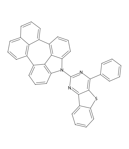 c1ccc(-c2nc(-n3c4cccc5c4c4c(cccc43)-c3cccc4cccc-5c34)nc3c2sc2ccccc23)cc1